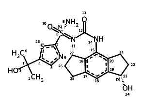 CC(C)(O)c1cnc([S@@](N)(=O)=NC(=O)Nc2c3c(cc4c2CC[C@@H]4O)CCC3)s1